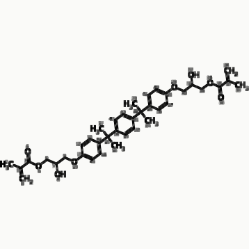 C=C(C)C(=O)OCC(O)COc1ccc(C(C)(C)c2ccc(C(C)(C)c3ccc(OCC(O)COC(=O)C(=C)C)cc3)cc2)cc1